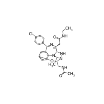 CCNC(=O)C[C@@H]1N=C(c2ccc(Cl)cc2)c2cc3ccc2N2C1NN(C(CNC(C)=O)O3)C2C